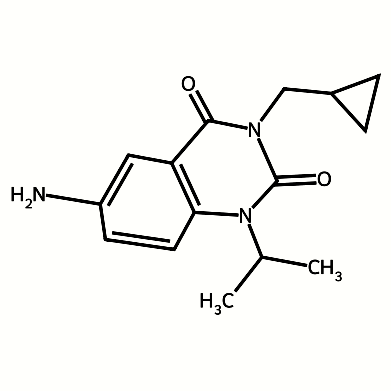 CC(C)n1c(=O)n(CC2CC2)c(=O)c2cc(N)ccc21